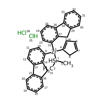 C[SiH](C)[Zr]([C]1=CC=CC1)([c]1cccc2c1Cc1ccccc1-2)[c]1cccc2c1Cc1ccccc1-2.Cl.Cl